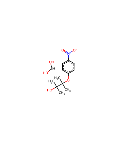 CC(C)(O)C(C)(C)Oc1ccc([N+](=O)[O-])cc1.OBO